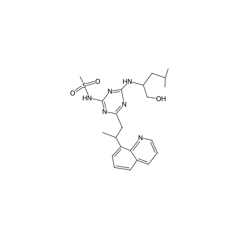 CC(C)CC(CO)Nc1nc(CC(C)c2cccc3cccnc23)nc(NS(C)(=O)=O)n1